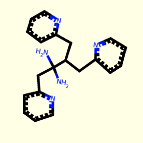 NC(N)(Cc1ccccn1)C(Cc1ccccn1)Cc1ccccn1